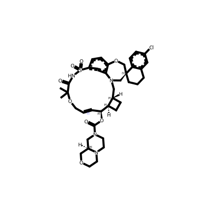 CC1(C)OC/C=C/[C@H](OC(=O)N2CCN3CCOC[C@H]3C2)[C@@H]2CC[C@H]2CN2C[C@@]3(CCCc4cc(Cl)ccc43)COc3ccc(cc32)S(=O)(=O)NC1=O